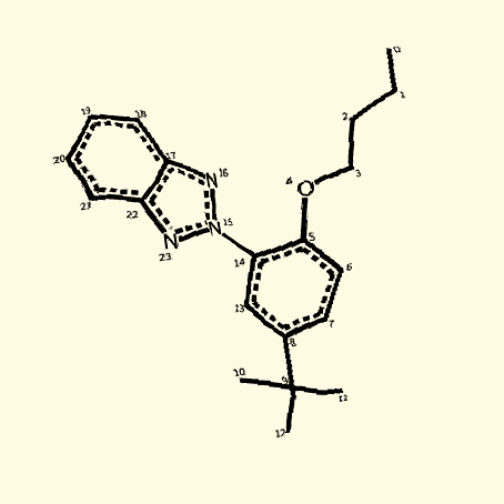 CCCCOc1ccc(C(C)(C)C)cc1-n1nc2ccccc2n1